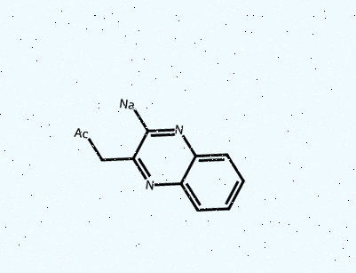 CC(=O)Cc1nc2ccccc2n[c]1[Na]